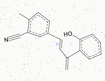 C=C(/C=C/c1ccc(C)c(C#N)c1)c1ccccc1O